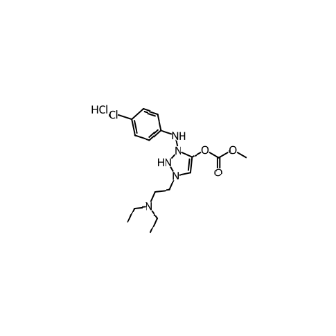 CCN(CC)CCN1C=C(OC(=O)OC)N(Nc2ccc(Cl)cc2)N1.Cl